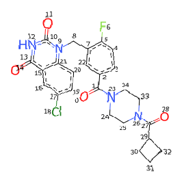 O=C(c1ccc(F)c(Cn2c(=O)[nH]c(=O)c3cc(Cl)ccc32)c1)N1CCN(C(=O)C2CCC2)CC1